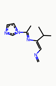 C=N/C=C(\N=C(/C)n1ccnc1)C(C)C